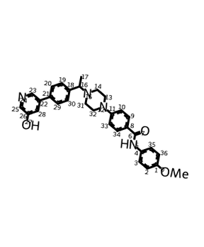 COc1ccc(NC(=O)c2ccc(N3CCN(C(C)c4ccc(-c5cncc(O)c5)cc4)CC3)cc2)cc1